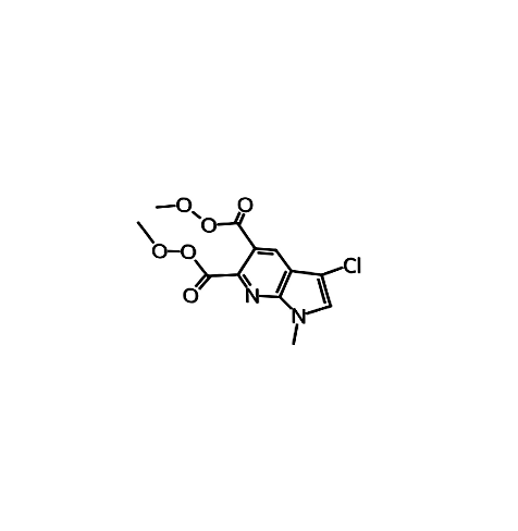 COOC(=O)c1cc2c(Cl)cn(C)c2nc1C(=O)OOC